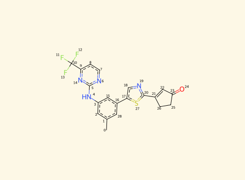 Cc1cc(Nc2nccc(C(F)(F)F)n2)cc(-c2cnc(C3=CC(=O)CC3)s2)c1